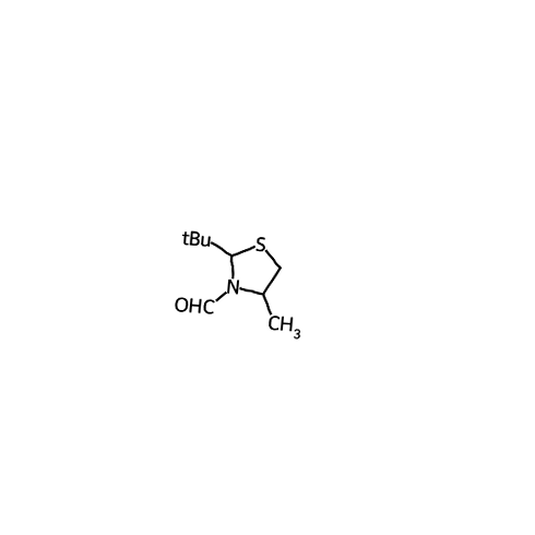 CC1CSC(C(C)(C)C)N1C=O